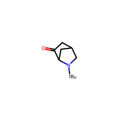 CC(C)(C)N1CC2CC(=O)C1C2